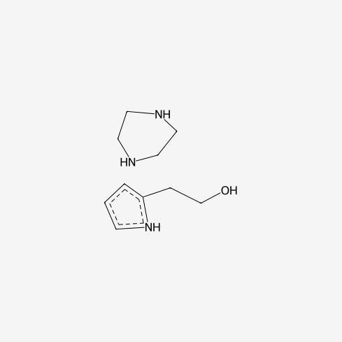 C1CNCCN1.OCCc1ccc[nH]1